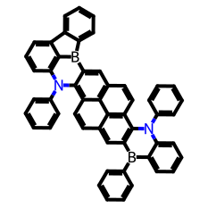 c1ccc(B2c3ccccc3N(c3ccccc3)c3c2cc2ccc4c5c(cc6ccc3c2c64)B2c3ccccc3-c3cccc(c32)N5c2ccccc2)cc1